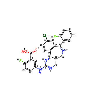 O=C(O)c1cc(Nc2ncc3c(n2)-c2ccc(Cl)cc2C(c2ccccc2F)=NC3)ccc1F